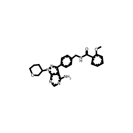 COc1ccccc1C(=O)NCc1ccc(-c2nn(C3CCCOC3)c3ncnc(N)c23)cc1